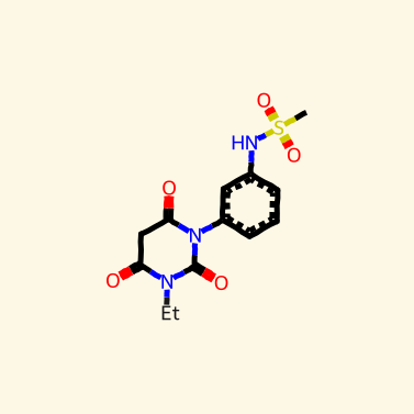 CCN1C(=O)CC(=O)N(c2cccc(NS(C)(=O)=O)c2)C1=O